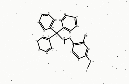 CCc1cc(SF)ccc1CNC(C1=CCCC=C1)(c1ccccc1)c1ccccc1